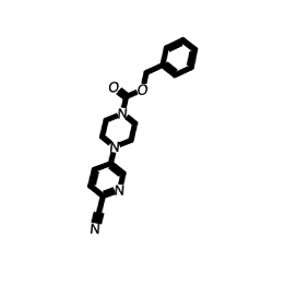 N#Cc1ccc(N2CCN(C(=O)OCc3ccccc3)CC2)cn1